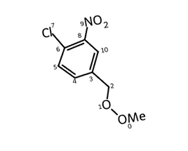 COOCc1ccc(Cl)c([N+](=O)[O-])c1